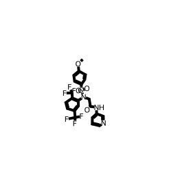 COc1ccc(S(=O)(=O)N(CC(=O)Nc2cccnc2)c2cc(C(F)(F)F)ccc2C(F)(F)F)cc1